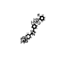 O=C(Nc1ccc(-c2cnc(C3CCN(S(=O)(=O)C(F)(F)F)CC3)s2)cc1)Nc1ccccc1F